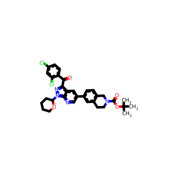 CC(C)(C)OC(=O)N1CCc2cc(-c3cnc4c(c3)c(C(=O)c3ccc(Cl)cc3Cl)nn4C3CCCCO3)ccc2C1